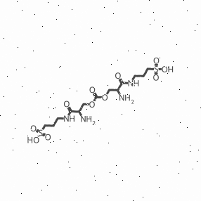 NC(COC(=O)OCC(N)C(=O)NCCCS(=O)(=O)O)C(=O)NCCCS(=O)(=O)O